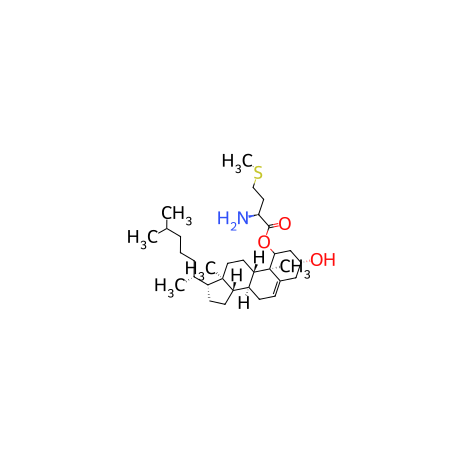 CSCC[C@H](N)C(=O)OC1C[C@H](O)CC2=CC[C@H]3[C@@H]4CC[C@H]([C@H](C)CCCC(C)C)[C@@]4(C)CC[C@@H]3[C@]21C